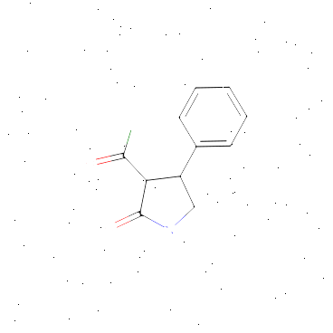 O=C(Cl)C1C(=O)NCC1c1ccccc1